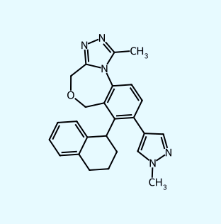 Cc1nnc2n1-c1ccc(-c3cnn(C)c3)c(C3CCCc4ccccc43)c1COC2